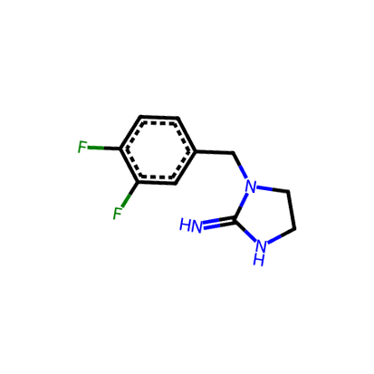 N=C1NCCN1Cc1ccc(F)c(F)c1